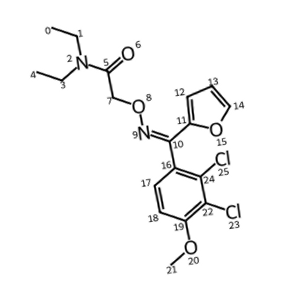 CCN(CC)C(=O)CON=C(c1ccco1)c1ccc(OC)c(Cl)c1Cl